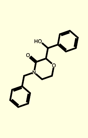 O=C1C(C(O)c2ccccc2)OCCN1Cc1ccccc1